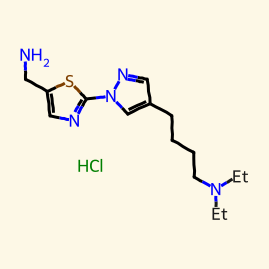 CCN(CC)CCCCc1cnn(-c2ncc(CN)s2)c1.Cl